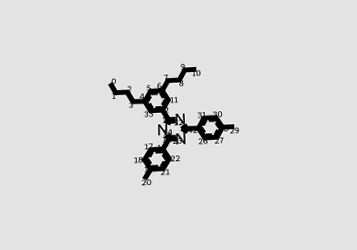 CCCCc1cc(CCCC)cc(-c2nc(-c3ccc(C)cc3)nc(-c3ccc(C)cc3)n2)c1